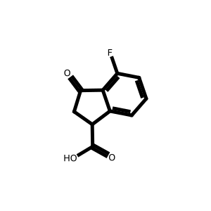 O=C1CC(C(=O)O)c2cccc(F)c21